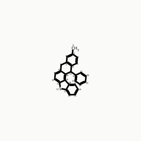 Cc1ccc2c(c1)Cc1ccc3sc4ccccc4c3c1C2c1ccccc1